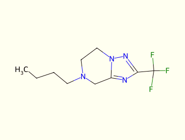 CCCCN1CCn2nc(C(F)(F)F)nc2C1